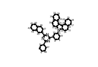 c1ccc(-c2nc(-c3cccc(-n4c5ccc6ccccc6c5c5c6ccccc6ccc54)c3)nc(-c3ccc4ccccc4c3)n2)cc1